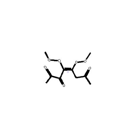 COO/C(CC(C)=O)=C(\OOC)C(=O)C(C)=O